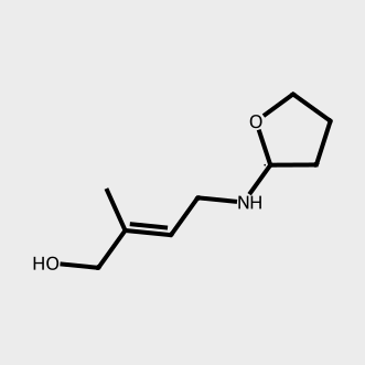 C/C(=C\CN[C]1CCCO1)CO